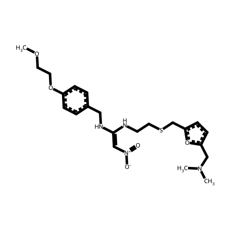 COCCOc1ccc(CNC(=C[N+](=O)[O-])NCCSCc2ccc(CN(C)C)o2)cc1